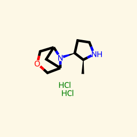 C[C@@H]1NCC[C@@H]1N1C2COCC1C2.Cl.Cl